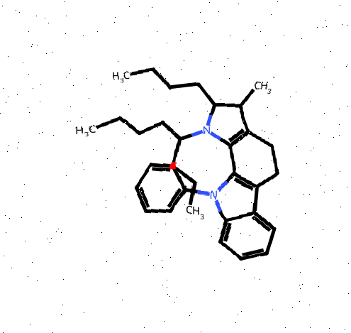 CCCCC(CCC)N1C2=C(CCc3c2n(-c2ccccc2)c2ccccc32)C(C)C1CCCC